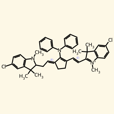 CN1c2ccc(Cl)cc2C(C)(C)C1C/C=C1\CCC(/C=C/C2=[N+](C)c3ccc(Cl)cc3C2(C)C)=C1N(c1ccccc1)c1ccccc1